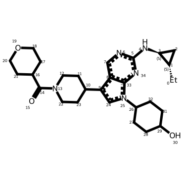 CC[C@H]1C[C@@H]1Nc1ncc2c(C3CCN(C(=O)C4CCOCC4)CC3)cn(C3CCC(O)CC3)c2n1